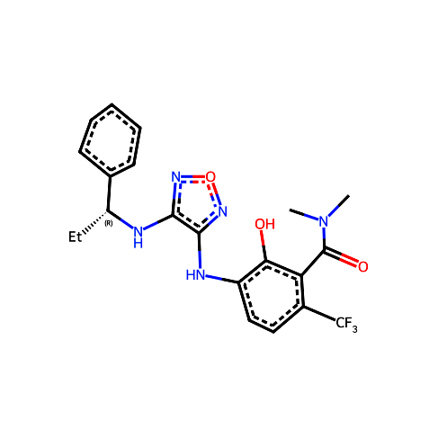 CC[C@@H](Nc1nonc1Nc1ccc(C(F)(F)F)c(C(=O)N(C)C)c1O)c1ccccc1